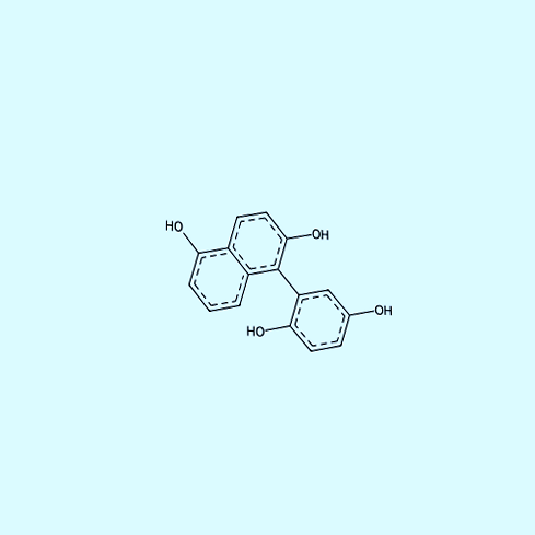 Oc1ccc(O)c(-c2c(O)ccc3c(O)cccc23)c1